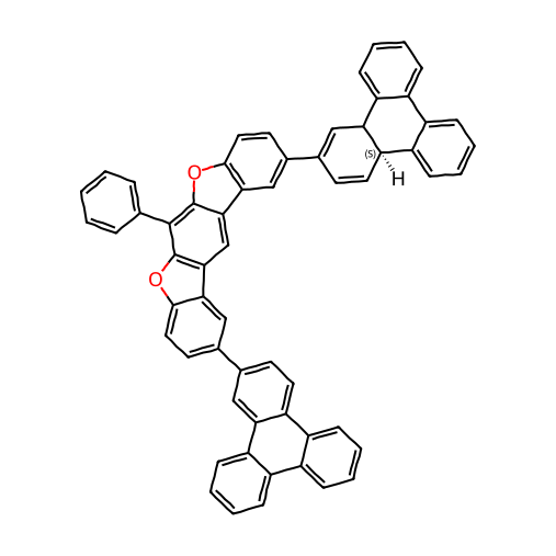 C1=C[C@@H]2c3ccccc3-c3ccccc3C2C=C1c1ccc2oc3c(-c4ccccc4)c4oc5ccc(-c6ccc7c8ccccc8c8ccccc8c7c6)cc5c4cc3c2c1